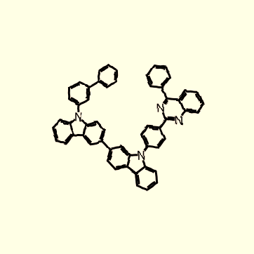 c1ccc(-c2cccc(-n3c4ccccc4c4cc(-c5ccc6c7ccccc7n(-c7ccc(-c8nc(-c9ccccc9)c9ccccc9n8)cc7)c6c5)ccc43)c2)cc1